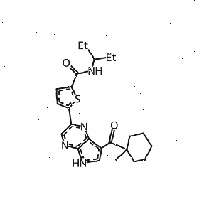 CCC(CC)NC(=O)c1ccc(-c2cnc3[nH]cc(C(=O)C4(C)CCCCC4)c3n2)s1